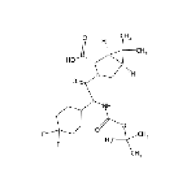 CC(C)(C)OC(=O)NC(C(=O)N1C[C@H]2[C@@H]([C@H]1C(=O)O)C2(C)C)C1CCC(F)(F)CC1